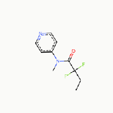 CCC(F)(F)C(=O)N(C)c1ccncc1